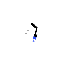 C=CC#N.[Ti]